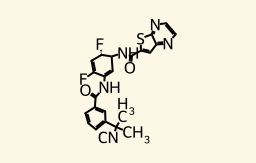 CC(C)(C#N)c1cccc(C(=O)NC2=CC(NC(=O)c3cc4nccnc4s3)[C@@H](F)C=C2F)c1